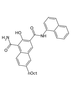 CCCCCCCCc1ccc2c(C(N)=O)c(O)c(C(=O)Nc3cccc4ccccc34)cc2c1